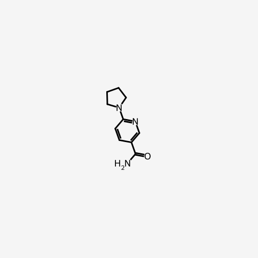 NC(=O)c1ccc(N2CCCC2)nc1